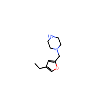 CCc1coc(CN2CCNCC2)c1